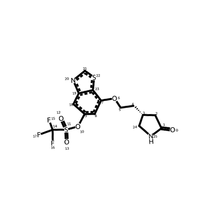 O=C1C[C@@H](CCOc2cc(OS(=O)(=O)C(F)(F)F)cc3ncsc23)CN1